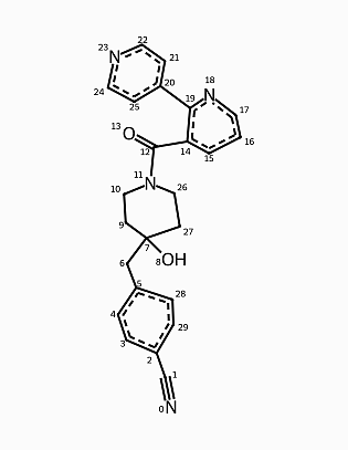 N#Cc1ccc(CC2(O)CCN(C(=O)c3cccnc3-c3ccncc3)CC2)cc1